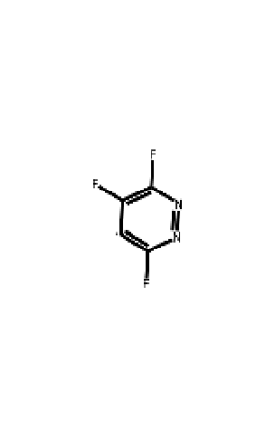 Fc1[c]c(F)c(F)nn1